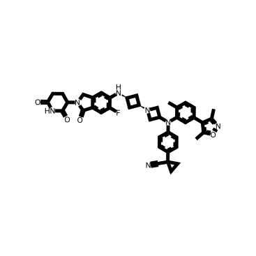 Cc1ccc(-c2c(C)noc2C)cc1N(c1ccc(C2(C#N)CC2)cc1)C1CN([C@H]2C[C@@H](Nc3cc4c(cc3F)C(=O)N(C3CCC(=O)NC3=O)C4)C2)C1